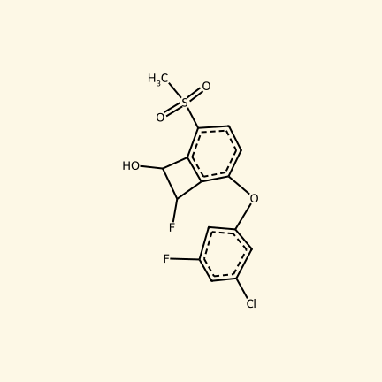 CS(=O)(=O)c1ccc(Oc2cc(F)cc(Cl)c2)c2c1C(O)C2F